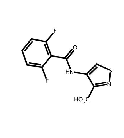 O=C(O)c1nscc1NC(=O)c1c(F)cccc1F